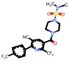 CN(C)S(=O)(=O)N1CCN(C(=O)c2cc(C#N)c(-c3ccc(C(F)(F)F)cc3)nc2C(F)(F)F)CC1